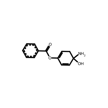 NC1(O)C=CC(OC(=O)c2ccccc2)=CC1